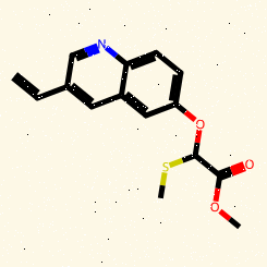 C=Cc1cnc2ccc(OC(SC)C(=O)OC)cc2c1